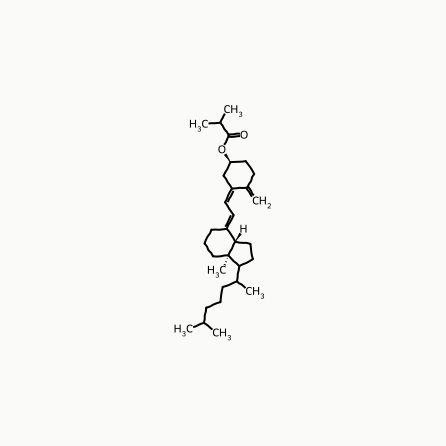 C=C1CC[C@H](OC(=O)C(C)C)C/C1=C/C=C1\CCC[C@]2(C)C(C(C)CCCC(C)C)CC[C@@H]12